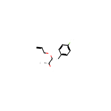 C=CCO[C@H](Cc1ccc(F)cc1)[C@@H](O)C(C)C